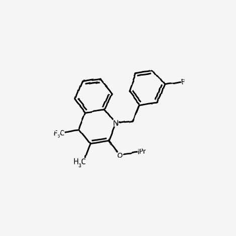 CC1=C(OC(C)C)N(Cc2cccc(F)c2)c2ccccc2C1C(F)(F)F